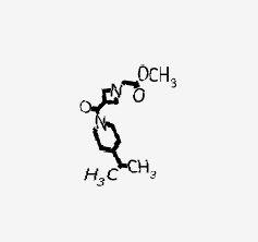 COC(=O)CN1CC(C(=O)N2CCC(C(C)C)CC2)C1